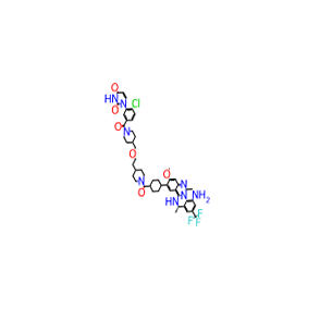 COc1cc2nc(C)nc(N[C@H](C)c3cc(N)cc(C(F)(F)F)c3)c2cc1C1CCC(C(=O)N2CCC(CCOCC3CCN(C(=O)c4ccc(Cl)c(-n5ccc(=O)[nH]c5=O)c4)CC3)CC2)CC1